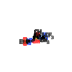 CCS(=O)(=O)c1ccc(CNC(O)c2cc3c(s2)C2(CCN(C(C)c4cnc(C(F)(F)F)nc4)CC2)O[C@H](C)C3)nc1